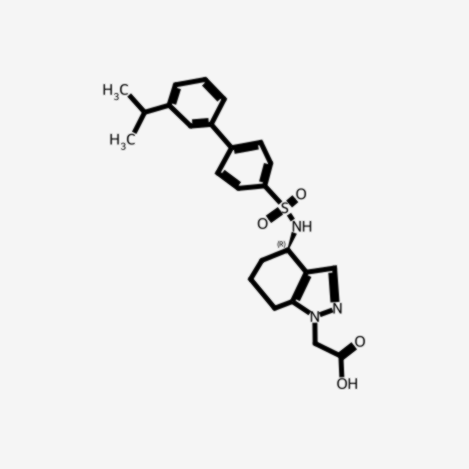 CC(C)c1cccc(-c2ccc(S(=O)(=O)N[C@@H]3CCCc4c3cnn4CC(=O)O)cc2)c1